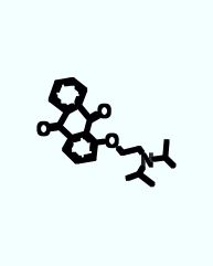 CC(C)N(CCOc1cccc2c1C(=O)c1ccccc1C2=O)C(C)C